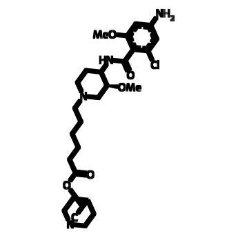 COc1cc(N)cc(Cl)c1C(=O)NC1CCN(CCCCCC(=O)OC2CN3CCC2CC3)C[C@@H]1OC